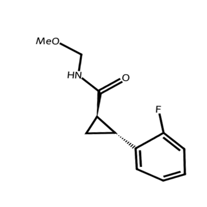 COCNC(=O)[C@@H]1C[C@H]1c1ccccc1F